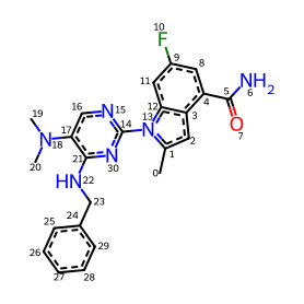 Cc1cc2c(C(N)=O)cc(F)cc2n1-c1ncc(N(C)C)c(NCc2ccccc2)n1